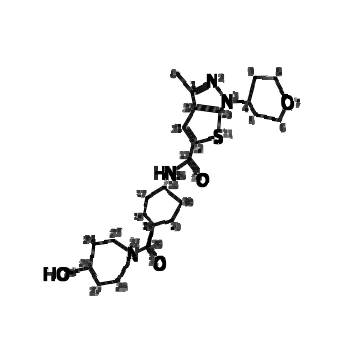 Cc1nn(C2CCOCC2)c2sc(C(=O)N[C@H]3CC[C@H](C(=O)N4CCC(O)CC4)CC3)cc12